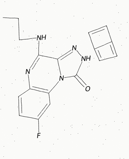 CCCNc1nc2ccc(F)cc2n2c(=O)[nH]nc12.c1cc2ccc1-2